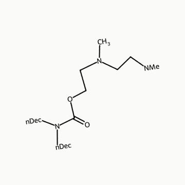 CCCCCCCCCCN(CCCCCCCCCC)C(=O)OCCN(C)CCNC